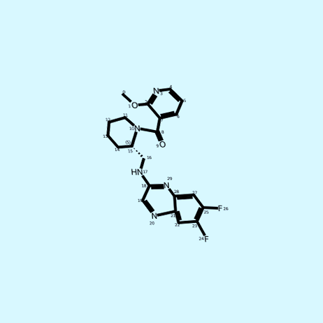 COc1ncccc1C(=O)N1CCCC[C@H]1CNc1cnc2cc(F)c(F)cc2n1